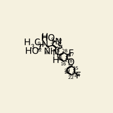 CC(CO)NC(=N)c1c(O)nsc1Nc1ccc(Oc2cccc(F)c2)c(F)c1